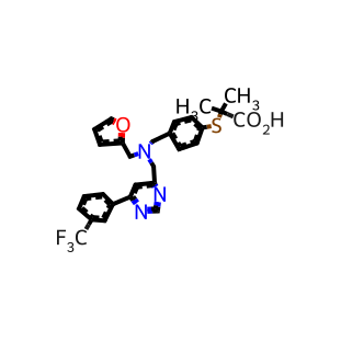 CC(C)(Sc1ccc(CN(Cc2cc(-c3cccc(C(F)(F)F)c3)ncn2)Cc2ccco2)cc1)C(=O)O